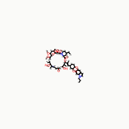 CCCn1ccc2cc(OC3CCC(C=C(C)C4OC(=O)C5CC(CC)CCN5C(=O)C(=O)C5(O)OC(C(OC)CC(C)C(O)/C(C)=C/CC(=O)CC(O)C4C)C(OC)CC5C)CC3O)ccc21